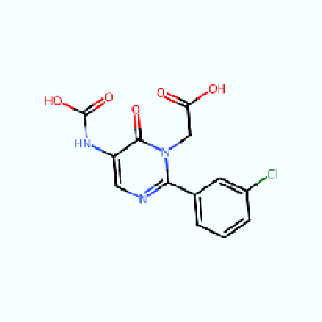 O=C(O)Cn1c(-c2cccc(Cl)c2)ncc(NC(=O)O)c1=O